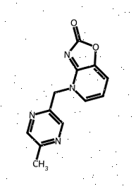 Cc1cnc(Cn2cccc3oc(=O)nc2-3)cn1